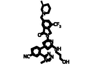 C[C@H]1CCCN(Cc2cc3c(c(C(F)(F)F)c2)CN(c2cc(-c4ccc(C#N)cc4-c4nncn4C)cc(NCCCO)n2)C3=O)C1